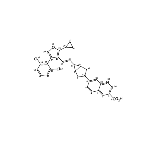 O=C(O)c1cc2ccc(N3CC4C(/C=C/c5c(-c6c(Cl)cccc6Cl)noc5C5CC5)C4C3)cc2nn1